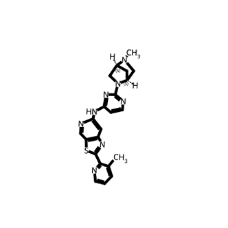 Cc1cccnc1-c1nc2cc(Nc3ccnc(N4C[C@@H]5C[C@H]4CN5C)n3)ncc2s1